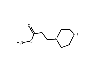 NOC(=O)CCN1CCNCC1